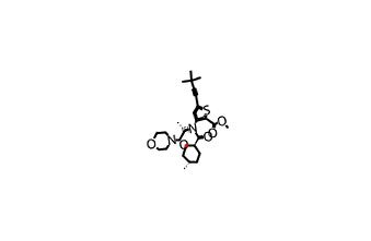 COC(=O)c1sc(C#CC(C)(C)C)cc1N(C(=O)[C@H]1CC[C@H](C)CC1)[C@@H](C)C(=O)N1CCOCC1